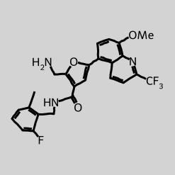 COc1ccc(-c2cc(C(=O)NCc3c(C)cccc3F)c(CN)o2)c2ccc(C(F)(F)F)nc12